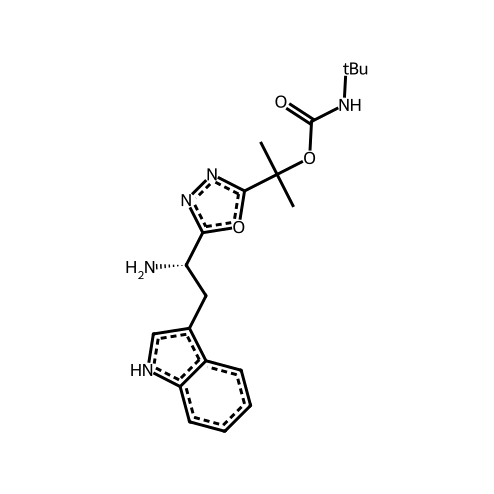 CC(C)(C)NC(=O)OC(C)(C)c1nnc([C@@H](N)Cc2c[nH]c3ccccc23)o1